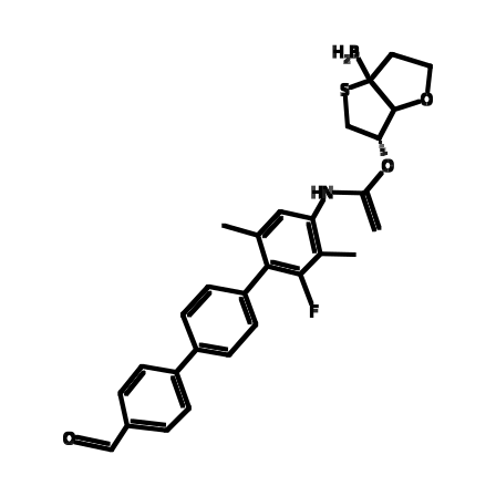 BC12CCOC1[C@H](OC(=C)Nc1cc(C)c(-c3ccc(-c4ccc(C=O)cc4)cc3)c(F)c1C)CS2